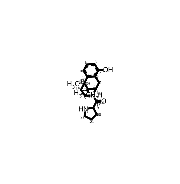 CC1(C)[C@H]2Cc3c(O)cccc3[C@]1(C)CCN2C(=O)C1CCCN1